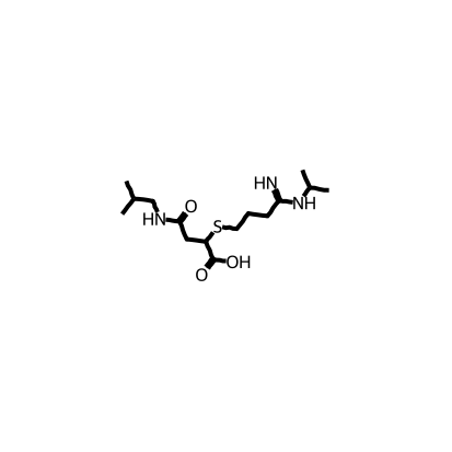 CC(C)CNC(=O)CC(SCCCC(=N)NC(C)C)C(=O)O